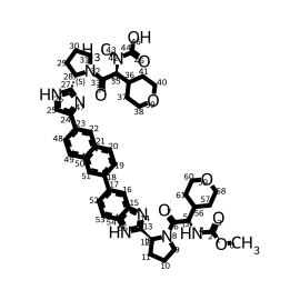 COC(=O)N[C@H](C(=O)N1CCC[C@H]1c1nc2cc(-c3ccc4cc(-c5c[nH]c([C@@H]6CCCN6C(=O)[C@H](C6CCOCC6)N(C)C(=O)O)n5)ccc4c3)ccc2[nH]1)C1CCOCC1